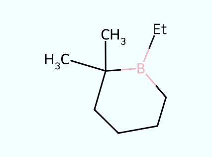 CCB1CCCCC1(C)C